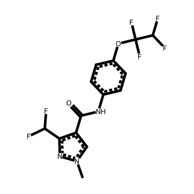 Cn1cc(C(=O)Nc2ccc(OC(F)(F)C(F)F)cc2)c(C(F)F)n1